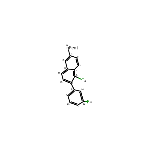 CCCCCc1ccc2c(F)c(-c3cccc(F)c3)ccc2c1